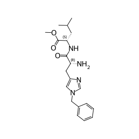 COC(=O)[C@H](CC(C)C)NC(=O)[C@H](N)Cc1cn(Cc2ccccc2)cn1